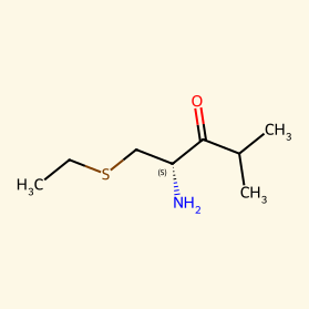 CCSC[C@@H](N)C(=O)C(C)C